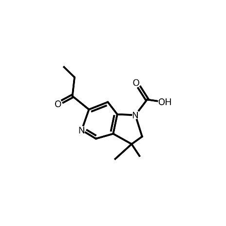 CCC(=O)c1cc2c(cn1)C(C)(C)CN2C(=O)O